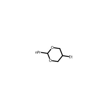 CCCC1OCC(CC)CO1